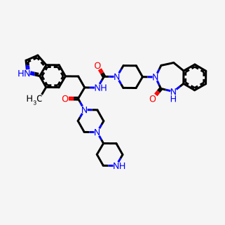 Cc1cc(CC(NC(=O)N2CCC(N3CCc4ccccc4NC3=O)CC2)C(=O)N2CCN(C3CCNCC3)CC2)cc2cc[nH]c12